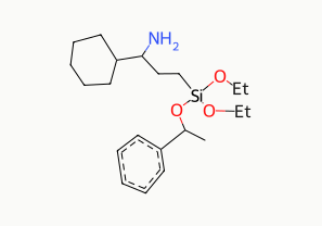 CCO[Si](CCC(N)C1CCCCC1)(OCC)OC(C)c1ccccc1